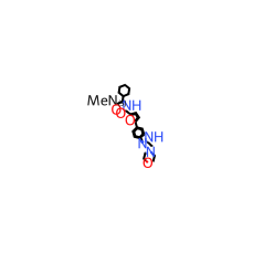 CNC(=O)[C@@H](NC(=O)c1ccc(-c2ccc3nc(CN4CCOCC4)[nH]c3c2)o1)C1CCCCC1